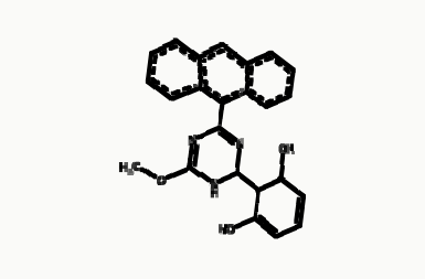 COC1=NC(c2c3ccccc3cc3ccccc23)=NC(C2C(O)=CC=CC2O)N1